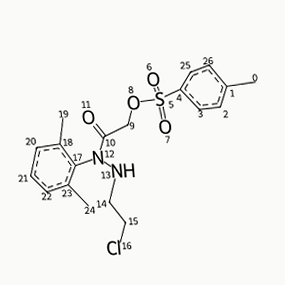 Cc1ccc(S(=O)(=O)OCC(=O)N(NCCCl)c2c(C)cccc2C)cc1